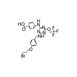 O=C(O)c1ccc(Nc2nc(NCc3ccc(OCCCBr)cc3)nc(OCC(F)(F)F)n2)cc1